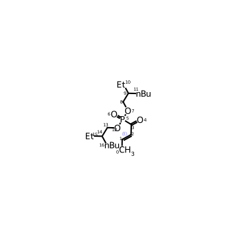 C/C=C/C(=O)P(=O)(OCC(CC)CCCC)OCC(CC)CCCC